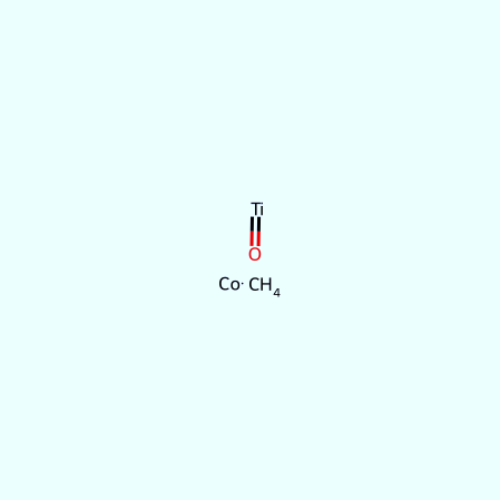 C.[Co].[O]=[Ti]